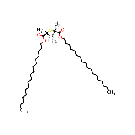 CCCCCCCCCCCCCCCCCCOC(=O)C(C)(C)SC(C)(C)C(=O)OCCCCCCCCCCCCCCCCCC